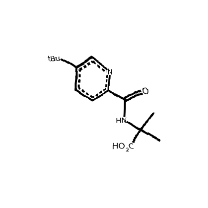 CC(C)(NC(=O)c1ccc(C(C)(C)C)cn1)C(=O)O